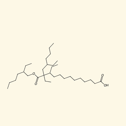 CCCCC(CC)COC(=O)C(CC)(CC(CC)CCCC)C(CC)CCCCCCCCCC(=O)O